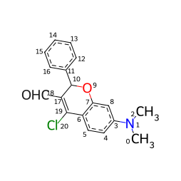 CN(C)c1ccc2c(c1)OC(c1ccccc1)C(C=O)=C2Cl